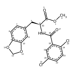 COC(=O)[C@H](Cc1ccc2c(c1)OCO2)NC(=O)c1cc(Cl)ccc1Cl